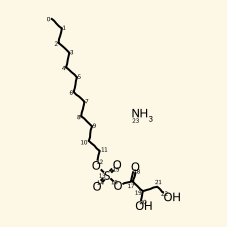 CCCCCCCCCCCCOS(=O)(=O)OC(=O)C(O)CO.N